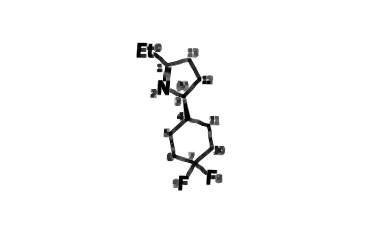 CCC1=N[C@H](C2CCC(F)(F)CC2)CC1